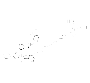 O=C(NCc1cccc(C(F)(F)F)c1)c1ccnc(-c2cc(N3CCCCC3)ccc2NC(=O)c2cccc(CCCOCCOCCOCCOCCC(=O)N(CCO)CCO)c2)c1